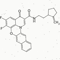 C=C1CCCC1CCNC(=O)c1cn2c3c(c(F)c(F)cc3c1=O)Oc1cc3ccccc3cc1-2